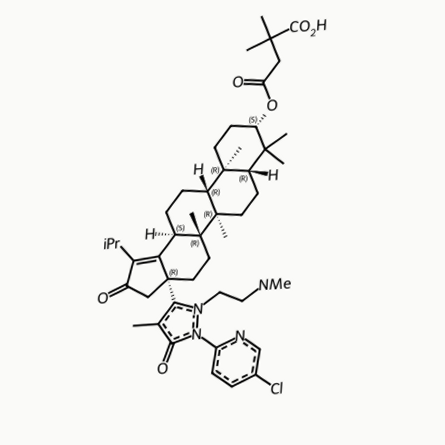 CNCCn1c([C@@]23CC[C@]4(C)[C@H](CC[C@@H]5[C@@]6(C)CC[C@H](OC(=O)CC(C)(C)C(=O)O)C(C)(C)[C@@H]6CC[C@]54C)C2=C(C(C)C)C(=O)C3)c(C)c(=O)n1-c1ccc(Cl)cn1